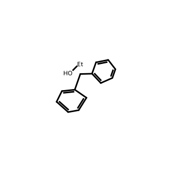 CCO.c1ccc(Cc2ccccc2)cc1